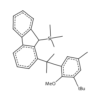 COc1c(C(C)(C)C)cc(C)cc1C(C)(C)c1cccc2c1C([Si](C)(C)C)c1ccccc1-2